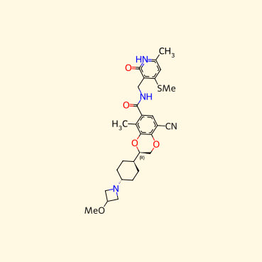 COC1CN([C@H]2CC[C@H]([C@@H]3COc4c(C#N)cc(C(=O)NCc5c(SC)cc(C)[nH]c5=O)c(C)c4O3)CC2)C1